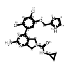 Nc1nc2c(c(-c3cc(OCc4ncc[nH]4)c(Cl)cc3Cl)n1)CN(C(=O)NC1CC1)C2